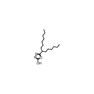 CCCCCCCC(CCCCCC)c1nnc(O)o1